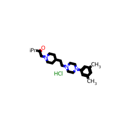 Cc1cc(C)cc(N2CCN(CCC3CCN(CC(=O)C(C)C)CC3)CC2)c1.Cl